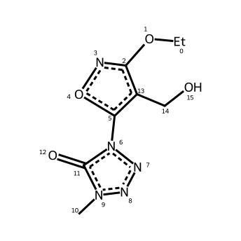 CCOc1noc(-n2nnn(C)c2=O)c1CO